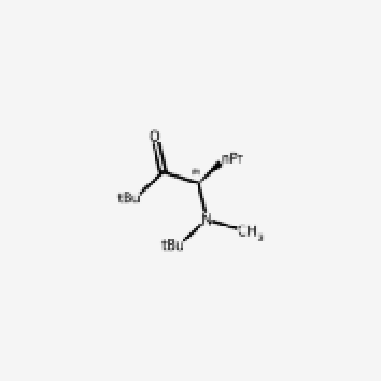 CCC[C@H](C(=O)C(C)(C)C)N(C)C(C)(C)C